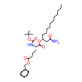 CCCCCCCCCCCC(CC(N)=O)OC(=O)[C@H](CCCC(=O)OCc1ccccc1)NC(=O)OC(C)(C)C